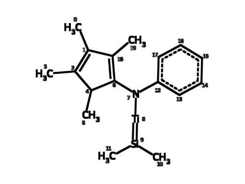 CC1=C(C)C(C)C([N]([Ti]=[Si](C)C)c2ccccc2)=C1C